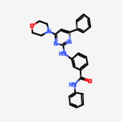 O=C(Nc1ccccc1)c1cccc(Nc2nc(-c3ccccc3)cc(N3CCOCC3)n2)c1